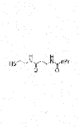 CCCC(=O)NCCC(=O)NCCS